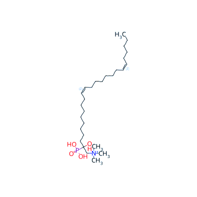 CCCCC/C=C\CCCCCC/C=C\CCCCCCCCC(O)(C[N+](C)(C)C)P(=O)(O)O